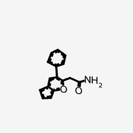 NC(=O)Cc1oc2cccc-2cc1-c1ccccc1